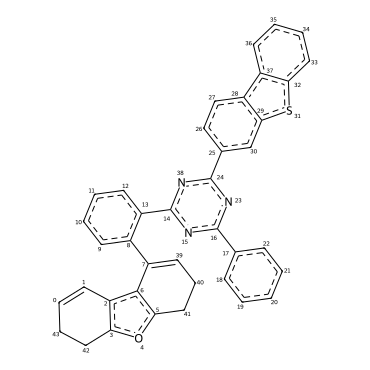 C1=Cc2c(oc3c2C(c2ccccc2-c2nc(-c4ccccc4)nc(-c4ccc5c(c4)sc4ccccc45)n2)=CCC3)CC1